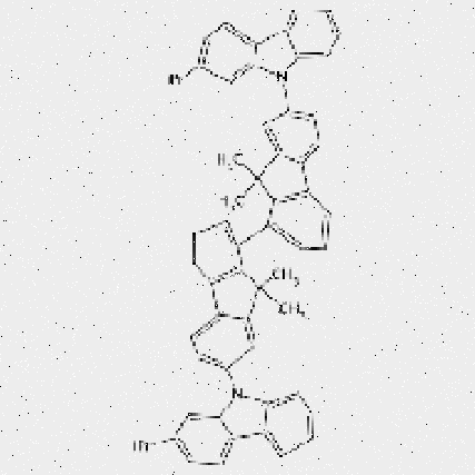 CC(C)c1ccc2c3ccccc3n(-c3ccc4c(c3)C(C)(C)c3c-4cccc3-c3cccc4c3C(C)(C)c3cc(-n5c6ccccc6c6ccc(C(C)C)cc65)ccc3-4)c2c1